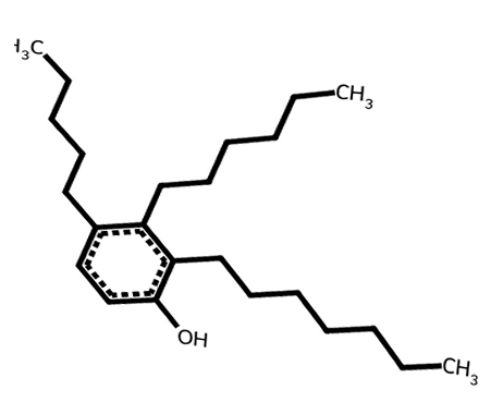 CCCCCCCc1c(O)ccc(CCCCC)c1CCCCCC